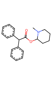 CN1CCCCC1OC(=O)C(c1ccccc1)c1ccccc1